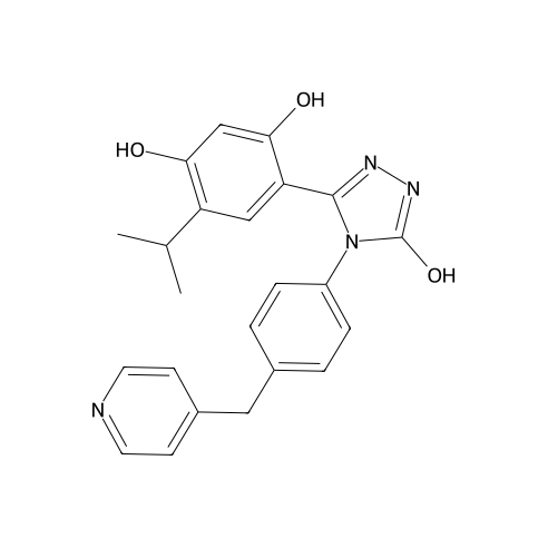 CC(C)c1cc(-c2nnc(O)n2-c2ccc(Cc3ccncc3)cc2)c(O)cc1O